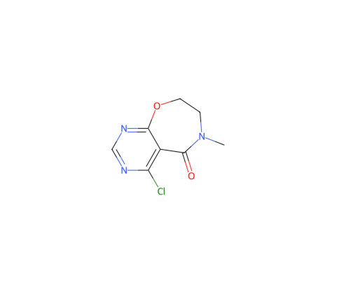 CN1CCOc2ncnc(Cl)c2C1=O